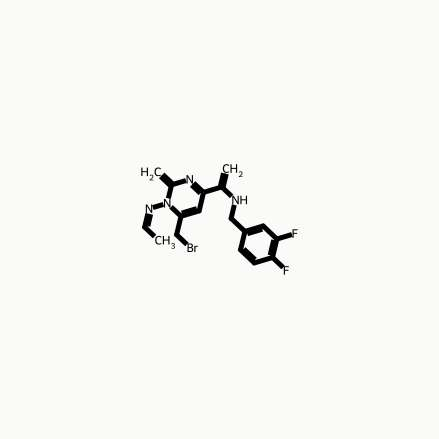 C=C(NCc1ccc(F)c(F)c1)C1=NC(=C)N(/N=C\C)C(CBr)=C1